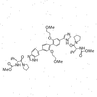 COCCOc1cc(-c2ccc3nc([C@@H]4CCCN4C(=O)[C@@H](NC(=O)OC)C(C)C)[nH]c3c2)ccc1-c1ccc(-c2cnc([C@@H]3CCCN3C(=O)[C@@H](NC(=O)OC)C(C)C)[nH]2)cc1OCCOC